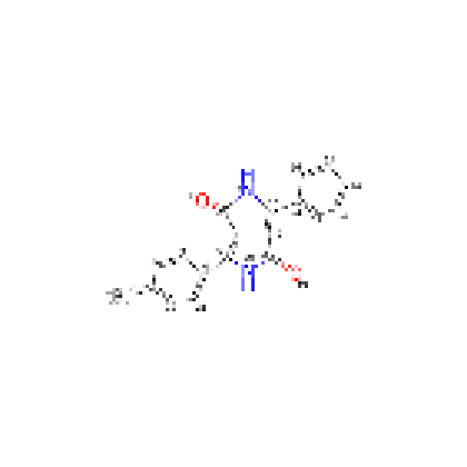 CC(C)(C)c1ccc(C2=C3C(=O)NC(c4ccccc4)=C3C(=O)N2)cc1